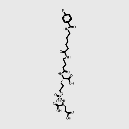 O=C(O)CC[C@H](NP(=O)(O)OCCC[C@H](NC(=O)CCCNC(=O)CCCCCNC(=O)c1ccc(F)cc1)C(=O)O)C(=O)O